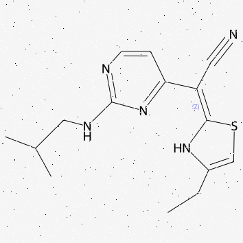 CCC1=CS/C(=C(\C#N)c2ccnc(NCC(C)C)n2)N1